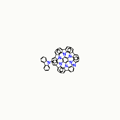 c1ccc2c(c1)ncn2-c1c(-n2c3ccccc3c3ccccc32)c(-n2c3ccccc3c3ccccc32)c(-n2c3ccccc3c3cc(-n4c5ccccc5c5ccccc54)ccc32)c(-n2c3ccccc3c3ccccc32)c1-n1c2ccccc2c2ccccc21